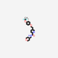 CC(F)(F)Oc1ccc(OCCc2ccc(C(=O)NCC3CCOCC3)nc2)cc1